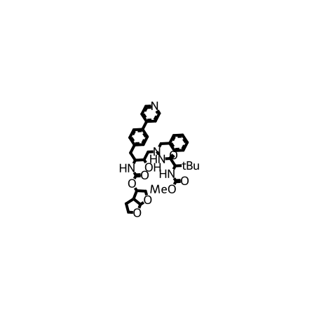 COC(=O)NC(C(=O)NN(Cc1ccccc1)CC(O)C(Cc1ccc(-c2ccncc2)cc1)NC(=O)OC1COC2OCCC12)C(C)(C)C